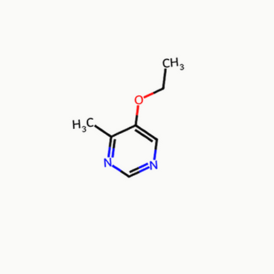 CCOc1cncnc1C